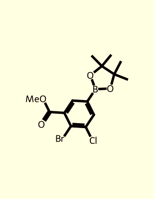 COC(=O)c1cc(B2OC(C)(C)C(C)(C)O2)cc(Cl)c1Br